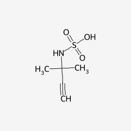 C#CC(C)(C)NS(=O)(=O)O